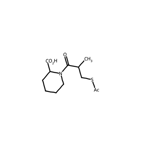 CC(=O)SCC(C)C(=O)N1CCCCC1C(=O)O